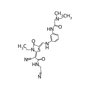 CCN(C)CC(=O)Nc1cccc(NC=c2sc(=C(C#N)C(=O)NCC#N)n(CC)c2=O)c1